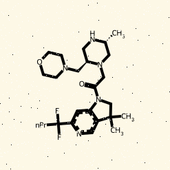 CCCC(F)(F)c1cc2c(cn1)C(C)(C)CN2C(=O)CN1C[C@@H](C)NC[C@@H]1CN1CCOCC1